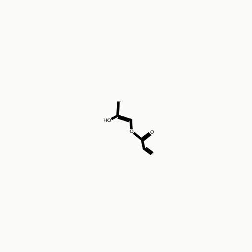 [CH2]/C(O)=C/OC(=O)C=C